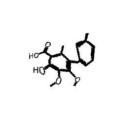 COc1c(O)c(C(=O)O)c(C)c(-c2cccc(C)c2)c1OC